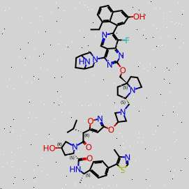 CCc1cccc2cc(O)cc(-c3ncc4c(N5CC6CCC(C5)N6)nc(OC[C@@]56CCCN5[C@H](CN5CC(Oc7cc([C@H](C(=O)N8C[C@H](O)C[C@H]8C(=O)N[C@@H](C)c8ccc(-c9scnc9C)cc8)C(C)C)on7)C5)CC6)nc4c3F)c12